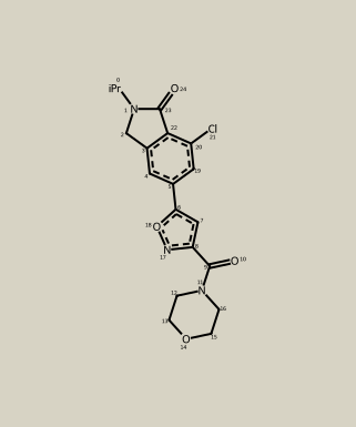 CC(C)N1Cc2cc(-c3cc(C(=O)N4CCOCC4)no3)cc(Cl)c2C1=O